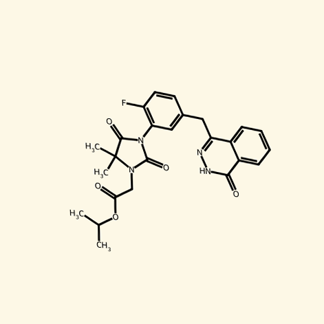 CC(C)OC(=O)CN1C(=O)N(c2cc(Cc3n[nH]c(=O)c4ccccc34)ccc2F)C(=O)C1(C)C